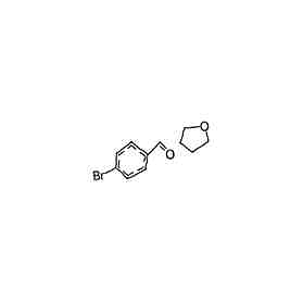 C1CCOC1.O=Cc1ccc(Br)cc1